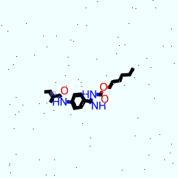 C/C=C(\C)C(=O)Nc1ccc(C(=N)NC(=O)OCCCCCC)cc1